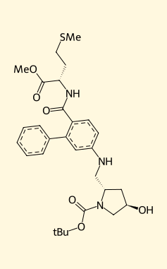 COC(=O)[C@H](CCSC)NC(=O)c1ccc(NC[C@@H]2C[C@@H](O)CN2C(=O)OC(C)(C)C)cc1-c1ccccc1